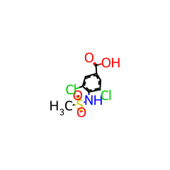 CS(=O)(=O)Nc1c(Cl)cc(C(=O)O)cc1Cl